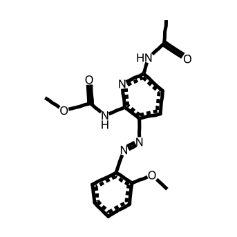 COC(=O)Nc1nc(NC(C)=O)ccc1/N=N/c1ccccc1OC